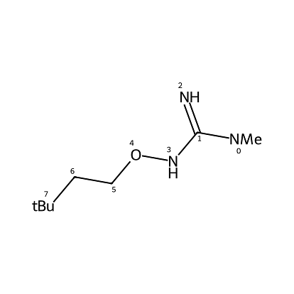 CNC(=N)NOCCC(C)(C)C